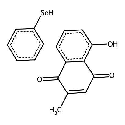 CC1=CC(=O)c2c(O)cccc2C1=O.[SeH]c1ccccc1